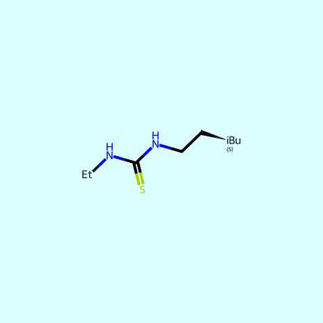 CCNC(=S)NC[CH][C@H](C)CC